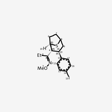 CCC(=NOC)[C@@H]1[C@H]2CCC(C[C@H]1c1ccc(I)cc1)S2